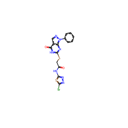 O=C(CSc1nc2c(cnn2-c2ccccc2)c(=O)[nH]1)Nc1nnc(Br)s1